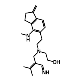 C=C1CCc2c1ccc(CCN(CCO)CC(C=N)=C(C)C)c2NC